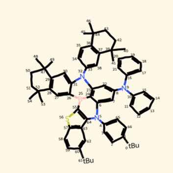 CC(C)(C)c1ccc(N2c3cc(N(c4ccccc4)c4ccccc4)cc4c3B(c3cc5c(cc3N4c3ccc4c(c3)C(C)(C)CCC4(C)C)C(C)(C)CCC5(C)C)c3sc4ccc(C(C)(C)C)cc4c32)cc1